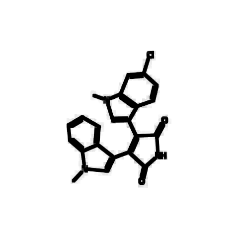 Cn1cc(C2=C(c3cn(C)c4cc(Cl)ccc34)C(=O)NC2=O)c2ccccc21